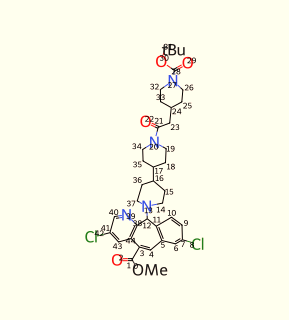 COC(=O)C1=Cc2cc(Cl)ccc2C(N2CCC(C3CCN(C(=O)CC4CCN(C(=O)OC(C)(C)C)CC4)CC3)CC2)c2ncc(Cl)cc21